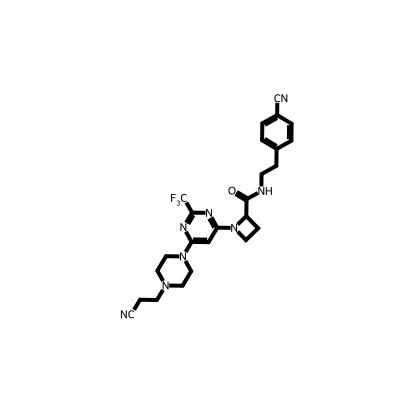 N#CCCN1CCN(c2cc(N3CCC3C(=O)NCCc3ccc(C#N)cc3)nc(C(F)(F)F)n2)CC1